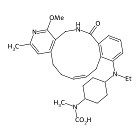 CCN(c1cccc2c1CC=CCCc1cc(C)nc(OC)c1CNC2=O)C1CCC(N(C)C(=O)O)CC1